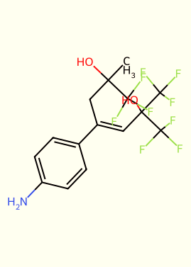 CC(O)(C/C(=C\C(O)(C(F)(F)F)C(F)(F)F)c1ccc(N)cc1)C(F)(F)F